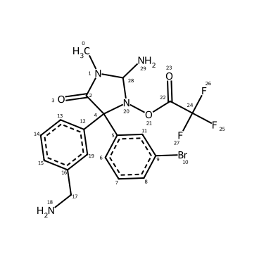 CN1C(=O)C(c2cccc(Br)c2)(c2cccc(CN)c2)N(OC(=O)C(F)(F)F)C1N